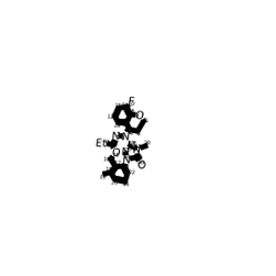 CC/C(=N/N=C1/CCOc2c(F)cccc21)OCc1c(C)cccc1-n1nnn(C)c1=O